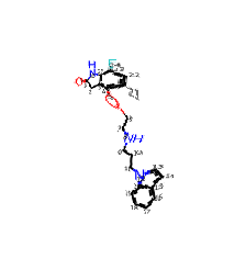 O=C1Cc2c(OCCNCCCn3ccc4ccccc43)ccc(F)c2N1